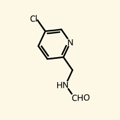 O=CNCc1ccc(Cl)cn1